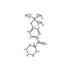 CC(C)(C)Cc1ccc(C(=O)N2CCCCC2)cc1